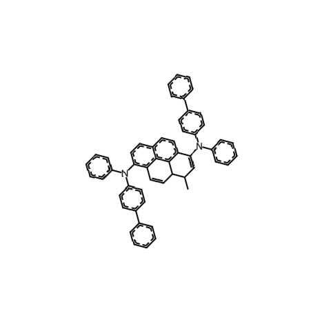 CC1C=C(N(c2ccccc2)c2ccc(-c3ccccc3)cc2)c2ccc3ccc(N(c4ccccc4)c4ccc(-c5ccccc5)cc4)c4c3c2C1C=C4